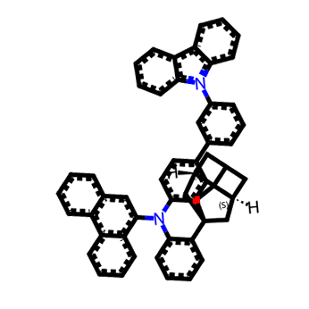 c1cc(-c2ccc(N(c3ccccc3C34C[C@@H]5CC6C[C@@H](C3)C65C4)c3cc4ccccc4c4ccccc34)cc2)cc(-n2c3ccccc3c3ccccc32)c1